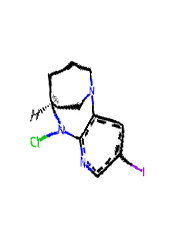 ClN1c2ncc(I)cc2N2CCC[C@H]1C2